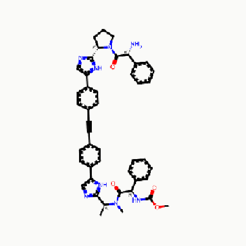 COC(=O)N[C@@H](C(=O)N(C)[C@@H](C)c1ncc(-c2ccc(C#Cc3ccc(-c4cnc([C@@H]5CCCN5C(=O)[C@H](N)c5ccccc5)[nH]4)cc3)cc2)[nH]1)c1ccccc1